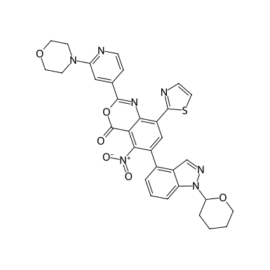 O=c1oc(-c2ccnc(N3CCOCC3)c2)nc2c(-c3nccs3)cc(-c3cccc4c3cnn4C3CCCCO3)c([N+](=O)[O-])c12